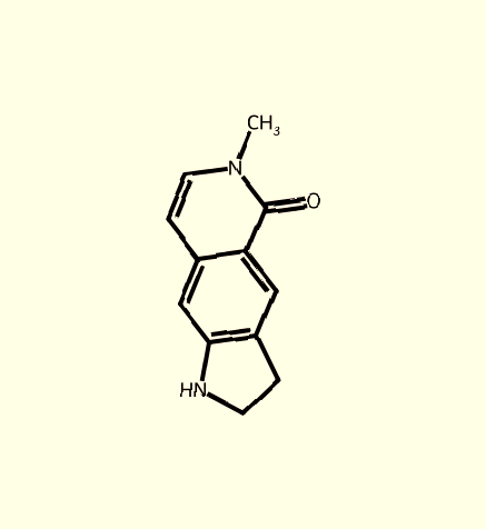 Cn1ccc2cc3c(cc2c1=O)CCN3